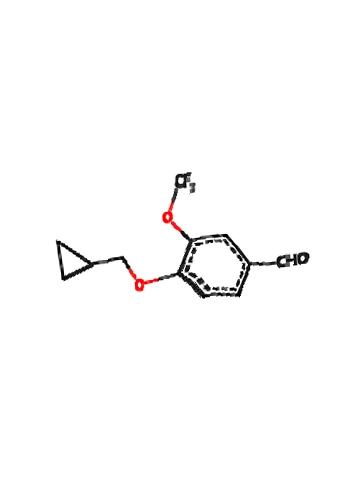 O=Cc1ccc(OCC2CC2)c(OC(F)(F)F)c1